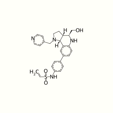 C=CS(=O)(=O)Nc1ccc(-c2ccc3c(c2)[C@H]2[C@H](CCN2Cc2ccncc2)[C@@H](CO)N3)cc1